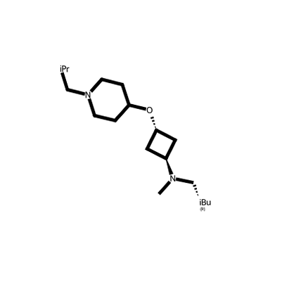 CC[C@@H](C)CN(C)[C@H]1C[C@H](OC2CCN(CC(C)C)CC2)C1